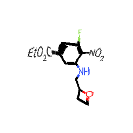 CCOC(=O)c1cc(F)c([N+](=O)[O-])c(NCC2CCO2)c1